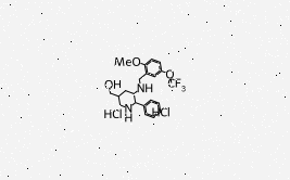 COc1ccc(OC(F)(F)F)cc1CNC1CC(CO)CNC1c1ccccc1.Cl.Cl